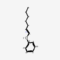 CCCCC/C=C/Oc1[c]cccc1